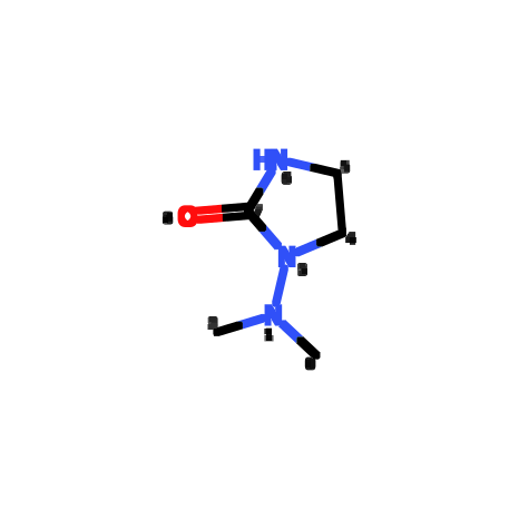 CN(C)N1CCNC1=O